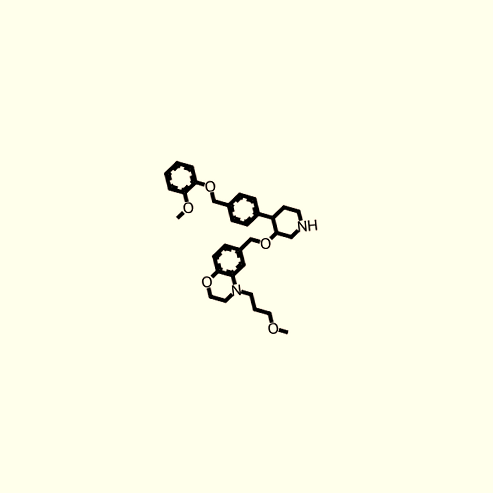 COCCCN1CCOc2ccc(COC3CNCCC3c3ccc(COc4ccccc4OC)cc3)cc21